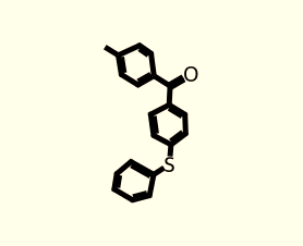 Cc1ccc(C(=O)c2ccc(Sc3ccccc3)cc2)cc1